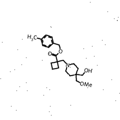 COCC1(CO)CCN(CC2(C(=O)OCc3ccc(C)cc3)CCC2)CC1